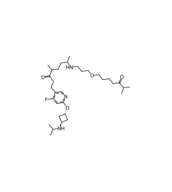 CC(CCC(C)C(=O)CCc1cnc(O[C@H]2C[C@H](NC(C)C)C2)cc1F)NCCCOCCCCC(=O)C(C)C